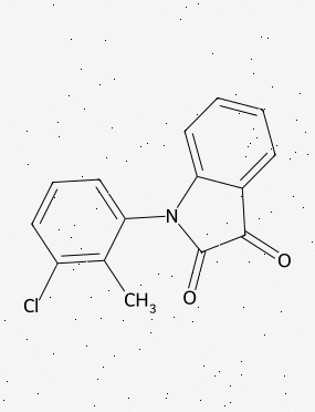 Cc1c(Cl)cccc1N1C(=O)C(=O)c2ccccc21